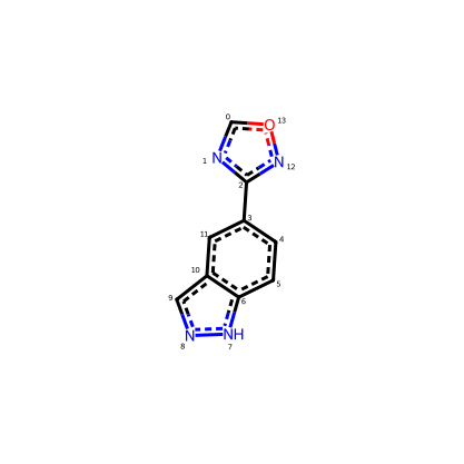 c1nc(-c2ccc3[nH]ncc3c2)no1